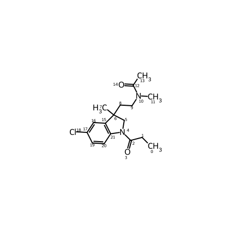 CCC(=O)N1CC(C)(CCN(C)C(C)=O)c2cc(Cl)ccc21